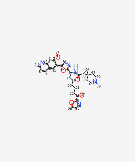 COc1cc2nc(C)ccc2cc1-c1cnc([C@H](CCCCCC(=O)c2ncco2)NC(=O)[C@H]2CC23CCN(C)CC3)o1